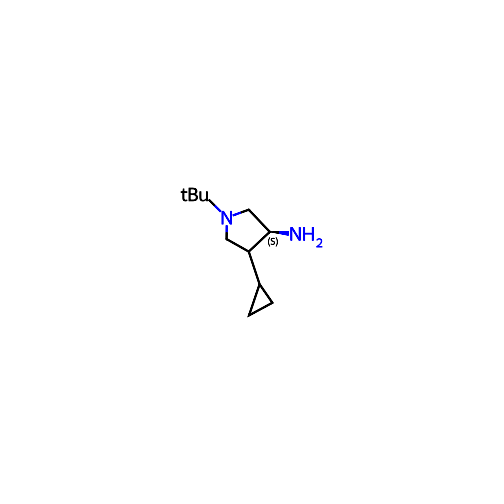 CC(C)(C)N1CC(C2CC2)[C@H](N)C1